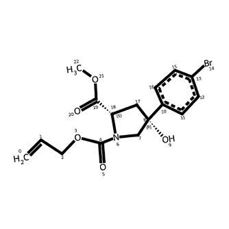 C=CCOC(=O)N1C[C@](O)(c2ccc(Br)cc2)C[C@H]1C(=O)OC